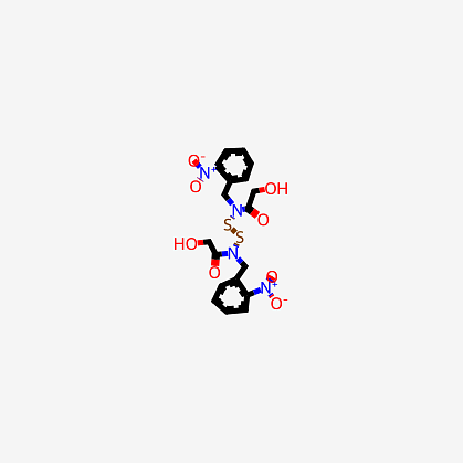 O=C(CO)N(Cc1ccccc1[N+](=O)[O-])SSN(Cc1ccccc1[N+](=O)[O-])C(=O)CO